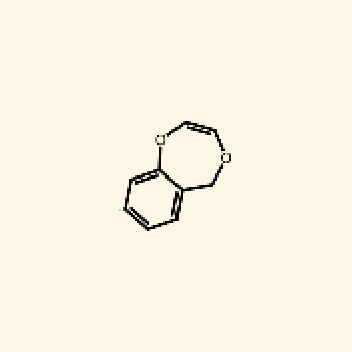 [c]1ccc2c(c1)OC=COC2